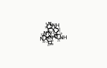 c1ccc2c(c1)[nH]c1nccc(-c3nc(NC4CC5CNCC4O5)c4c(C5CCC5)cncc4n3)c12